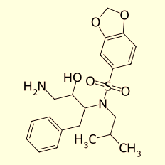 CC(C)CN(C(Cc1ccccc1)C(O)CN)S(=O)(=O)c1ccc2c(c1)OCO2